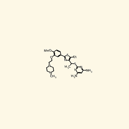 CCc1sc(-c2ccc(OC)c(OCCN3CCN(C)CC3)c2)nc1C(C)Sc1nc(N)cc(N)n1